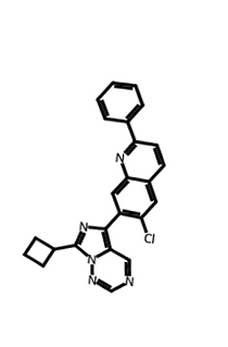 Clc1cc2ccc(-c3ccccc3)nc2cc1-c1nc(C2CCC2)n2ncncc12